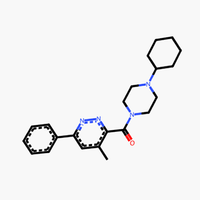 Cc1cc(-c2ccccc2)nnc1C(=O)N1CCN(C2CCCCC2)CC1